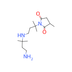 CC1CC(=O)N(C(C)(C)CCNC(C)(C)CCN)C1=O